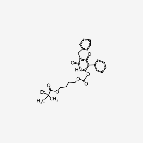 CCC(C)(C)C(=O)OCCCCOC(=O)Oc1[nH]c(=O)n(Cc2ccccc2)c(=O)c1-c1ccccc1